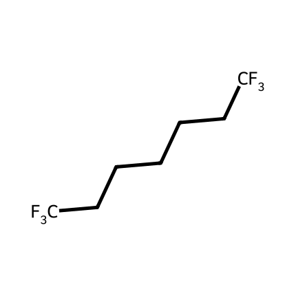 FC(F)(F)CCCCCC(F)(F)F